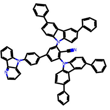 N#Cc1c(-n2c3ccc(-c4ccccc4)cc3c3cc(-c4ccccc4)ccc32)cc(-c2ccc(-n3c4ccccc4c4ncccc43)cc2)cc1-n1c2ccc(-c3ccccc3)cc2c2cc(-c3ccccc3)ccc21